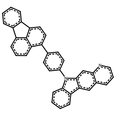 c1ccc2c(c1)-c1cccc3c(-c4ccc(-n5c6ccccc6c6cc7cccnc7cc65)cc4)ccc-2c13